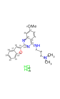 COc1ccc2c(NCCCN(C)C)nc(-c3cc4ccccc4o3)nc2c1.Cl.Cl